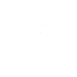 CC(C)c1ccccc1[Si](Cl)(Cl)[Si](Cl)(Cl)[Si](Cl)(Cl)Cl